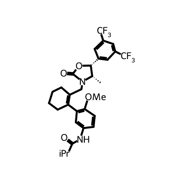 COc1ccc(NC(=O)C(C)C)cc1C1=C(CN2C(=O)O[C@H](c3cc(C(F)(F)F)cc(C(F)(F)F)c3)[C@@H]2C)CCCC1